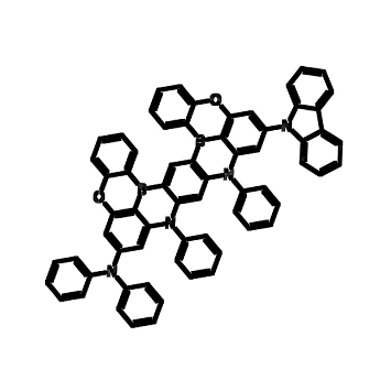 c1ccc(N(c2ccccc2)c2cc3c4c(c2)N(c2ccccc2)c2cc5c(cc2B4c2ccccc2O3)B2c3ccccc3Oc3cc(-n4c6ccccc6c6ccccc64)cc(c32)N5c2ccccc2)cc1